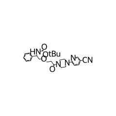 CC(C)(C)OC(=O)NC(COCCC(=O)N1CCN(c2ccc(C#N)cn2)CC1)c1ccccc1